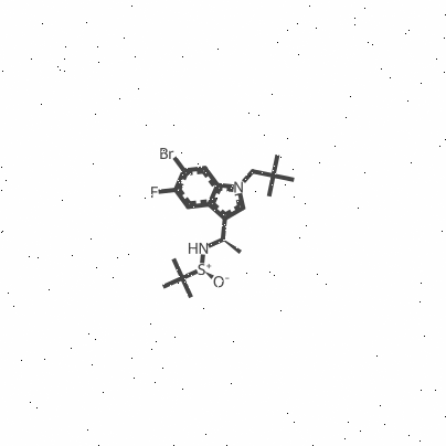 C[C@@H](N[S@@+]([O-])C(C)(C)C)c1cn(CC(C)(C)C)c2cc(Br)c(F)cc12